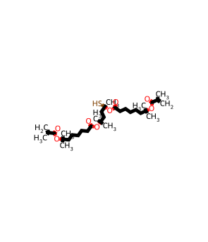 C=C(C)C(=O)OC(C)(C)CCCCCC(=O)OC(C)(C)CCC(C)(S)OC(=O)CCCCCC(C)(C)OC(=O)C(=C)C